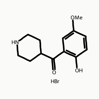 Br.COc1ccc(O)c(C(=O)C2CCNCC2)c1